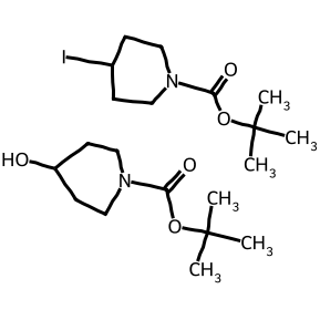 CC(C)(C)OC(=O)N1CCC(I)CC1.CC(C)(C)OC(=O)N1CCC(O)CC1